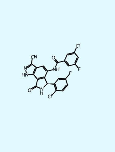 N#Cc1n[nH]c2c3c(c(NC(=O)c4cc(F)cc(Cl)c4)cc12)[C@@H](c1cc(F)ccc1Cl)NC3=O